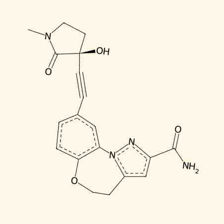 CN1CC[C@](O)(C#Cc2ccc3c(c2)-n2nc(C(N)=O)cc2CCO3)C1=O